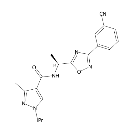 Cc1nn(C(C)C)cc1C(=O)N[C@@H](C)c1nc(-c2cccc(C#N)c2)no1